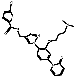 CN(C)CCCOc1cc(-n2ccccc2=O)ccc1-n1cc(CNC(=O)c2ccc(Cl)s2)nn1